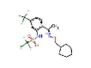 C/C(=N\OCC1CCCCC1)c1ccc(C(F)(F)F)cc1NS(=O)(=O)C(F)(F)F